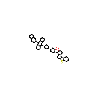 c1ccc2cc(-c3c4ccccc4c(-c4ccc(-c5ccc6c(c5)oc5ccc7c(ccc8sc9ccccc9c87)c56)cc4)c4ccccc34)ccc2c1